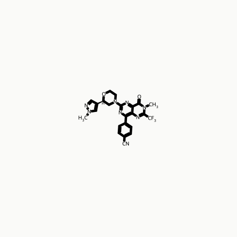 Cn1cc([C@@H]2CN(c3nc(-c4ccc(C#N)cc4)c4nc(C(F)(F)F)n(C)c(=O)c4n3)CCO2)cn1